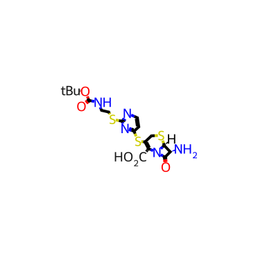 CC(C)(C)OC(=O)NCCSc1nccc(SC2=C(C(=O)O)N3C(=O)[C@@H](N)[C@@H]3SC2)n1